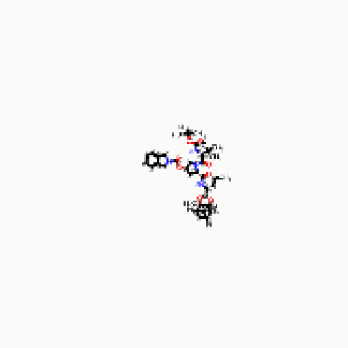 CCC[C@H](NC(=O)[C@@H]1C[C@@H](OC(=O)N2Cc3ccccc3C2)CN1C(=O)[C@@H](NC(=O)OC(C)(C)C)C(C)(C)C)B1O[C@@H]2C[C@@H]3C[C@@H](C3(C)C)[C@]2(C)O1